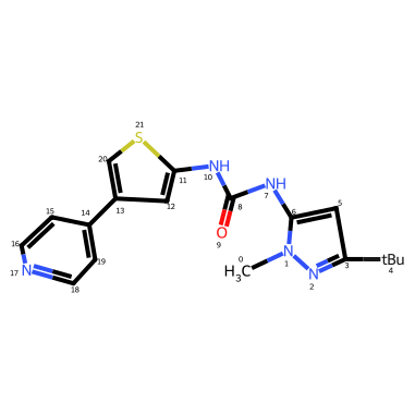 Cn1nc(C(C)(C)C)cc1NC(=O)Nc1cc(-c2ccncc2)cs1